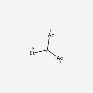 CC[C](C(C)=O)C(C)=O